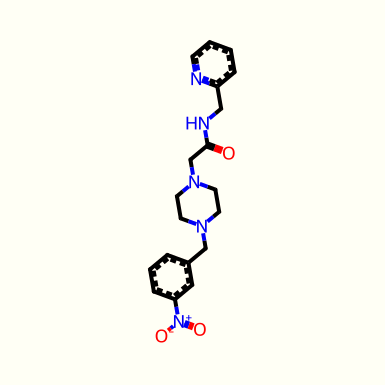 O=C(CN1CCN(Cc2cccc([N+](=O)[O-])c2)CC1)NCc1ccccn1